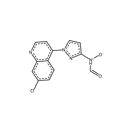 O=C[NH+]([O-])c1ccn(-c2ccnc3cc(Cl)ccc23)n1